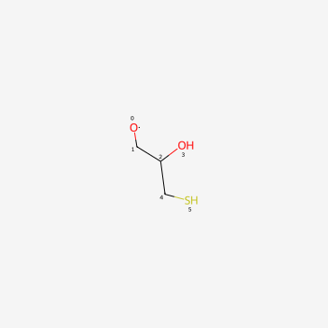 [O]CC(O)CS